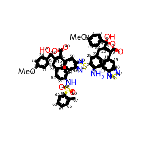 COc1ccc(C2(O)OC(=O)C(c3ccc4nsnc4c3)=C2Cc2ccc(N)cc2)cc1.COc1ccc(C2(O)OC(=O)C(c3ccc4nsnc4c3)=C2Cc2ccc(NS(=O)(=O)c3ccccc3C)cc2)cc1